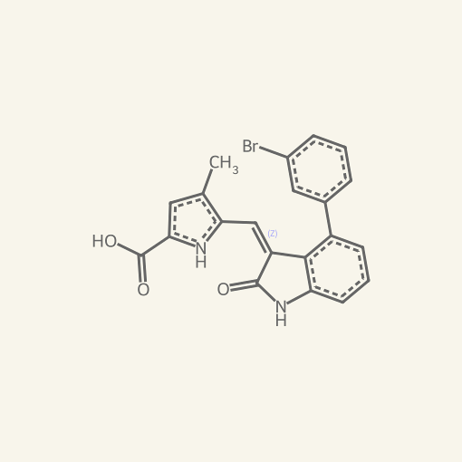 Cc1cc(C(=O)O)[nH]c1/C=C1\C(=O)Nc2cccc(-c3cccc(Br)c3)c21